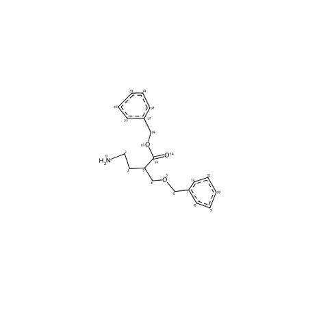 NCCC(COCc1ccccc1)C(=O)OCc1ccccc1